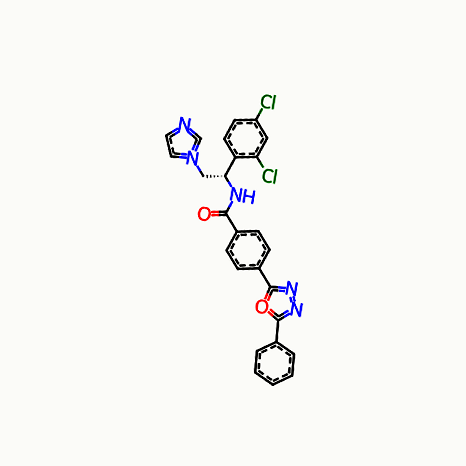 O=C(N[C@H](Cn1ccnc1)c1ccc(Cl)cc1Cl)c1ccc(-c2nnc(-c3ccccc3)o2)cc1